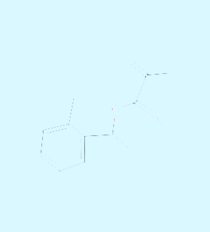 C=C(C)C(=O)OC(C)c1ccccc1C